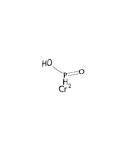 O=[PH2]O.[Cr]